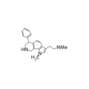 CNCCc1cn(C)c2c3c(ccc12)C(c1ccccc1)CNC3